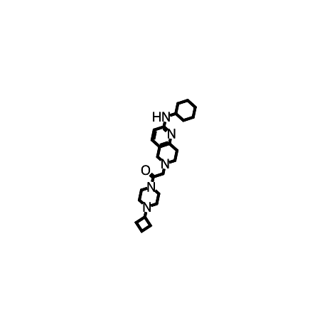 O=C(CN1CCc2nc(NC3CCCCC3)ccc2C1)N1CCN(C2CCC2)CC1